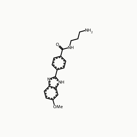 COc1ccc2nc(-c3ccc(C(=O)NCCCN)cc3)[nH]c2c1